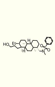 CC[C@H]1CC[C@]2(C)[C@H](CC[C@]3(C)[C@@H](CN(C)S(=O)(=O)c4ccccc4)CCC[C@@H]23)[C@@]1(C)CCCO